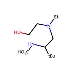 CCN(CCO)CC(NC(=O)O)C(C)(C)C